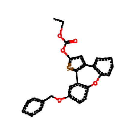 CCOC(=O)Oc1cc2c(s1)-c1cc(OCc3ccccc3)ccc1Oc1ccccc1-2